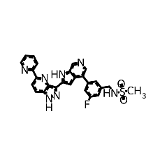 CS(=O)(=O)NCc1cc(F)cc(-c2cncc3[nH]c(-c4n[nH]c5ccc(-c6ccccn6)nc45)cc23)c1